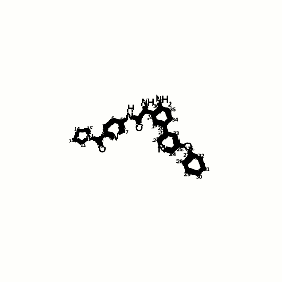 N=C(C(=O)Nc1ccc(C(=O)N2CCCC2)nc1)c1cc(-c2cncc(Oc3ccccc3)c2)ccc1N